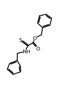 O=C(OCc1ccccc1)C(=S)NCc1ccccc1